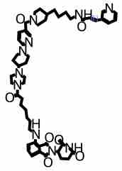 O=C(/C=C/c1cccnc1)NCCCCC1CCN(C(=O)c2ccc(N3CCC(N4CCN(C(=O)CCCCCCNc5cccc6c5C(=O)N(C5CCC(=O)NC5=O)C6=O)CC4)CC3)nc2)CC1